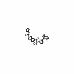 COc1cc2c(cc1C(=O)Nc1cccc(-c3nnc4n3[C@H](C)CC4)n1)CN(C(=O)OC1CCCC1)CC2